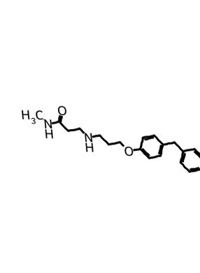 CNC(=O)CCNCCCOc1ccc(Cc2ccccc2)cc1